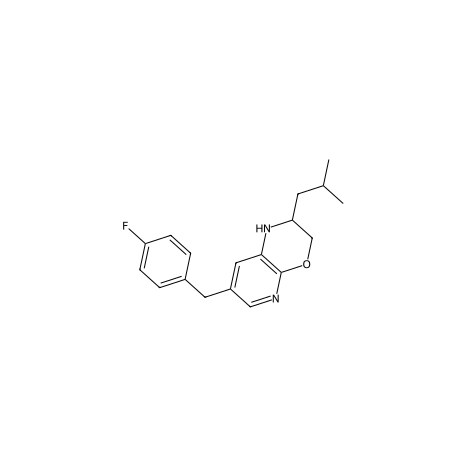 CC(C)CC1COc2ncc(Cc3ccc(F)cc3)cc2N1